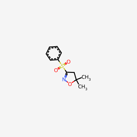 CC1(C)CC(S(=O)(=O)c2ccccc2)=NO1